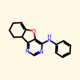 C1=C2Oc3c(Nc4ccccc4)ncnc3C2CCC1